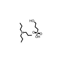 CCCN(CCC)CCC.O=S(=O)(O)CCCO